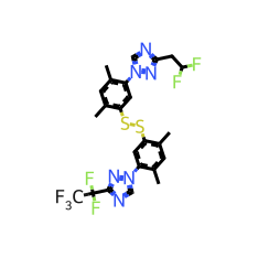 Cc1cc(C)c(-n2cnc(CC(F)F)n2)cc1SSc1cc(-n2cnc(C(F)(F)C(F)(F)F)n2)c(C)cc1C